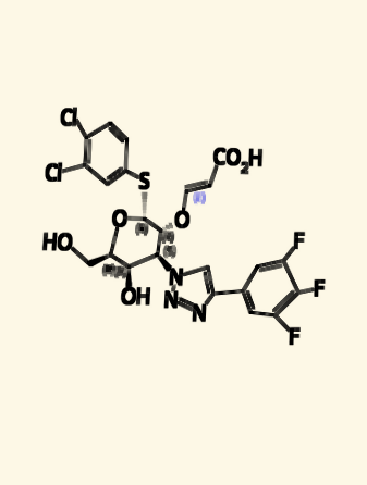 O=C(O)/C=C/O[C@@H]1[C@@H](n2cc(-c3cc(F)c(F)c(F)c3)nn2)[C@@H](O)[C@@H](CO)O[C@@H]1Sc1ccc(Cl)c(Cl)c1